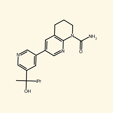 CC(C)C(C)(O)c1cncc(-c2cnc3c(c2)CCCN3C(N)=O)c1